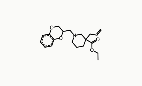 C=CCC1(C(=O)OCC)CCCN(CC2COc3ccccc3O2)C1